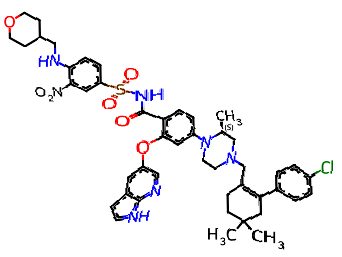 C[C@H]1CN(CC2=C(c3ccc(Cl)cc3)CC(C)(C)CC2)CCN1c1ccc(C(=O)NS(=O)(=O)c2ccc(NCC3CCOCC3)c([N+](=O)[O-])c2)c(Oc2cnc3[nH]ccc3c2)c1